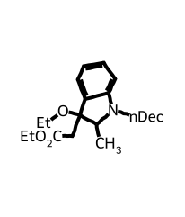 CCCCCCCCCCN1c2ccccc2C(CC(=O)OCC)(OCC)C1C